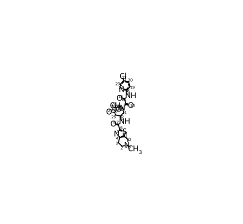 CN1CCc2nc(C(=O)NC(CNC(=O)C(=O)Nc3ccc(Cl)cn3)CS(C)(=O)=O)sc2C1